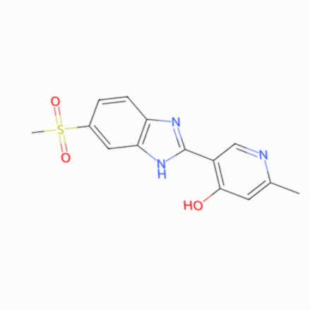 Cc1cc(O)c(-c2nc3ccc(S(C)(=O)=O)cc3[nH]2)cn1